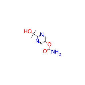 CC(C)(O)c1ncc(OC(N)=O)cn1